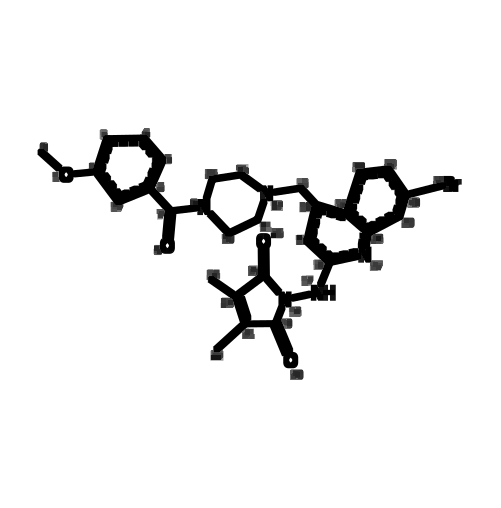 COc1cccc(C(=O)N2CCN(Cc3cc(NN4C(=O)C(C)=C(C)C4=O)nc4cc(Br)ccc34)CC2)c1